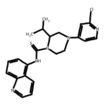 CC(C)C1CN(c2ccnc(Cl)c2)CCN1C(=S)Nc1cccc2ncccc12